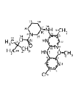 COc1ncc(Cl)cc1Nc1ncc(C)c(N[C@@H]2CCCN(C(=O)OC(C)(C)C)C2)n1